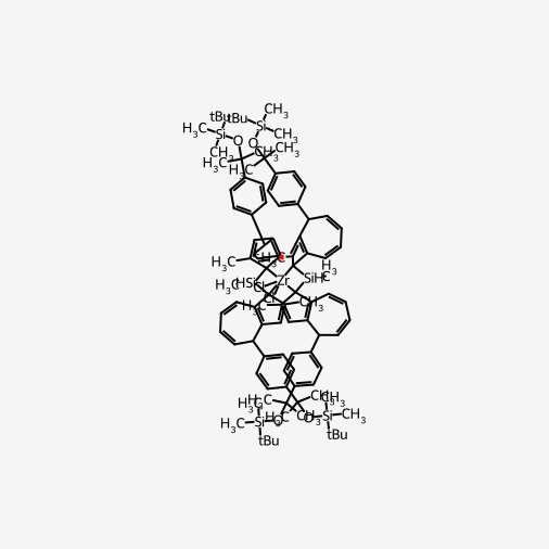 CC1=CC2=C(C=CC=CC2c2ccc(C(C)(C)O[Si](C)(C)C(C)(C)C)cc2)[C]12[SiH](C)[C]1(C(C)=CC3=C1C=CC=CC3c1ccc(C(C)(C)O[Si](C)(C)C(C)(C)C)cc1)[Zr]21([Cl])([Cl])[C]2(C(C)=CC3=C2C=CC=CC3c2ccc(C(C)(C)O[Si](C)(C)C(C)(C)C)cc2)[SiH](C)[C]12C(C)=CC1=C2C=CC=CC1c1ccc(C(C)(C)O[Si](C)(C)C(C)(C)C)cc1